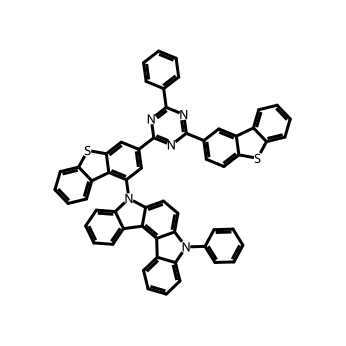 c1ccc(-c2nc(-c3cc(-n4c5ccccc5c5c6c7ccccc7n(-c7ccccc7)c6ccc54)c4c(c3)sc3ccccc34)nc(-c3ccc4sc5ccccc5c4c3)n2)cc1